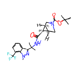 Cn1nc(C(C)(C)NC(=O)[C@H]2[C@@H]3CN(C(=O)OC(C)(C)C)C[C@@H]32)c2cccc(C(F)(F)F)c21